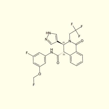 O=C(Nc1cc(F)cc(OCF)c1)[C@H]1c2ccccc2C(=O)N(CC(F)(F)F)[C@@H]1c1cn[nH]c1